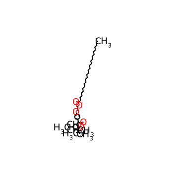 CCCCCCCCCCCCCCCCCCCCCCCCCCCC(=O)OCCOc1ccc(C2C(=O)Oc3c2cc(C(C)(C)C)cc3C(C)(C)C)cc1